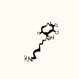 NCCCCCCNc1c(Cl)cnc(Cl)c1Cl